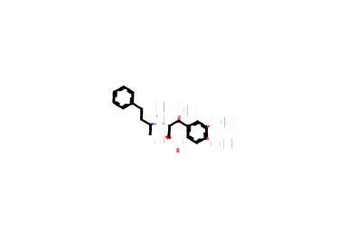 COC(=O)[C@H](NC(C)CCc1ccccc1)C(O)c1ccc(O)c(O)c1